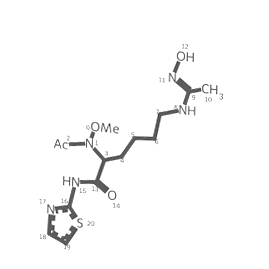 CON(C(C)=O)C(CCCCNC(C)=NO)C(=O)Nc1nccs1